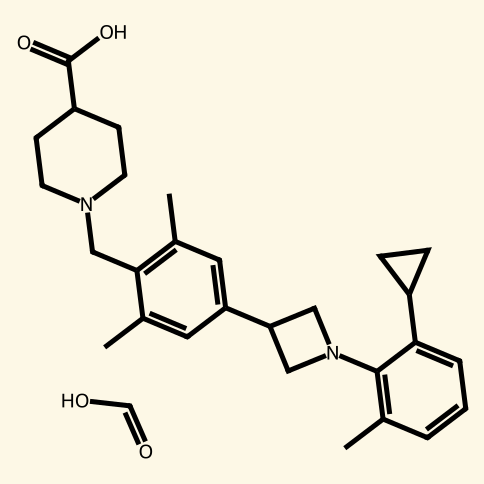 Cc1cc(C2CN(c3c(C)cccc3C3CC3)C2)cc(C)c1CN1CCC(C(=O)O)CC1.O=CO